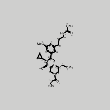 COC[C@@H]1CN(C(=O)OC(C)(C)C)C[C@H](C(=O)N(C2CC2)[C@H](C)c2cc(CCCNC(=O)OC)nc(OC)c2)O1